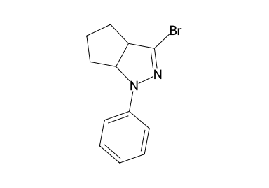 BrC1=NN(c2ccccc2)C2CCCC12